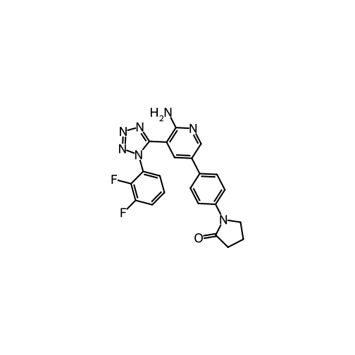 Nc1ncc(-c2ccc(N3CCCC3=O)cc2)cc1-c1nnnn1-c1cccc(F)c1F